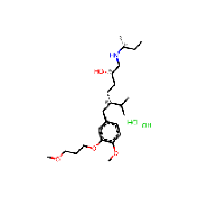 CC[C@@H](C)NC[C@@H](O)CC[C@@H](Cc1ccc(OC)c(OCCCOC)c1)C(C)C.Cl.Cl